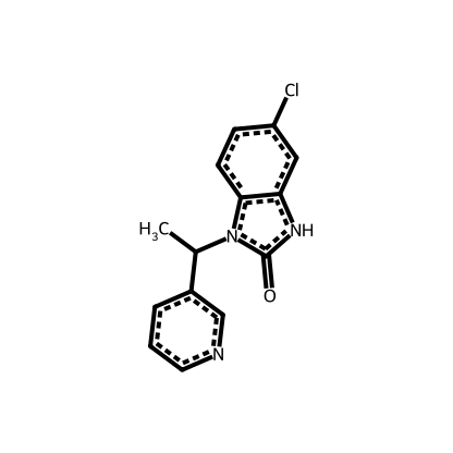 CC(c1cccnc1)n1c(=O)[nH]c2cc(Cl)ccc21